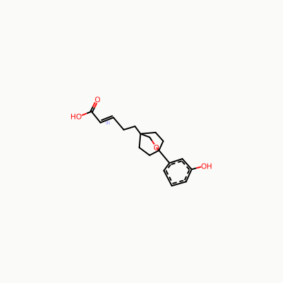 O=C(O)/C=C/CCC12CCC(c3cccc(O)c3)(CC1)OC2